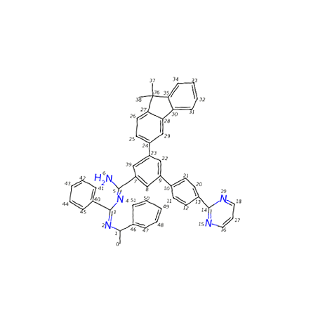 CC(/N=C(\N=C(/N)c1cc(-c2ccc(-c3ncccn3)cc2)cc(-c2ccc3c(c2)-c2ccccc2C3(C)C)c1)c1ccccc1)c1ccccc1